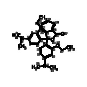 CCOc1cc(N(C)C)ccc1C1(c2ccc(N(C)C)cc2OCC)OC(=O)c2nccnc21